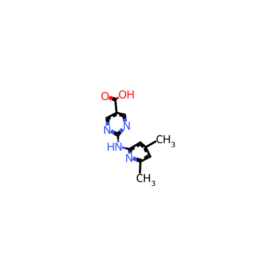 Cc1cc(C)nc(Nc2ncc(C(=O)O)cn2)c1